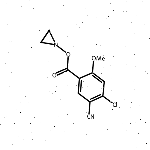 COc1cc(Cl)c(C#N)cc1C(=O)ON1CC1